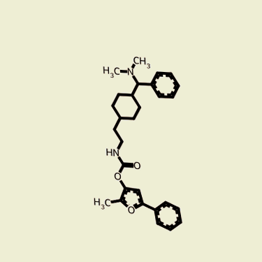 Cc1oc(-c2ccccc2)cc1OC(=O)NCCC1CCC(C(c2ccccc2)N(C)C)CC1